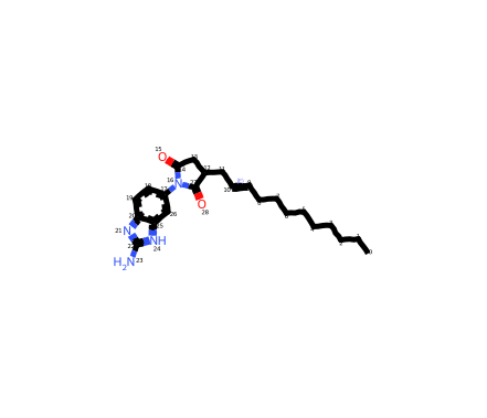 CCCCCCCCC/C=C/CC1CC(=O)N(c2ccc3nc(N)[nH]c3c2)C1=O